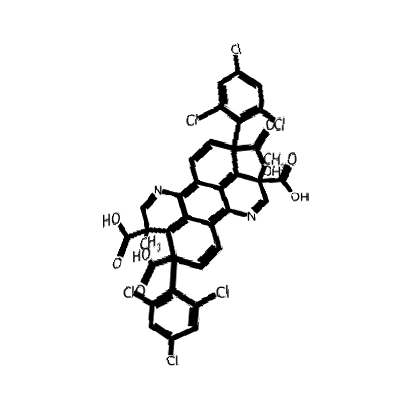 CC1(C(=O)O)C=Nc2c3c4c(c5c2=C1C(C(=O)O)(c1c(Cl)cc(Cl)cc1Cl)C=C5)N=CC(C)(C(=O)O)C=4C(C(=O)O)(c1c(Cl)cc(Cl)cc1Cl)C=C3